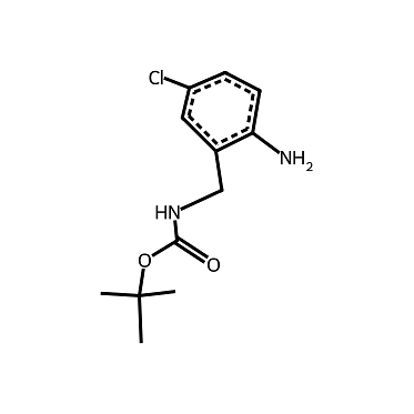 CC(C)(C)OC(=O)NCc1cc(Cl)ccc1N